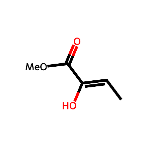 CC=C(O)C(=O)OC